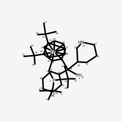 CC(C)(C)P(C[C]12[C]3(C(P)(C4CCCNC4)C4CCCNC4)[CH]4[C]5(C(C)(C)C)[C]1(C(C)(C)C)[Fe]42351678[CH]2[CH]1[CH]6[CH]7[CH]28)C(C)(C)C